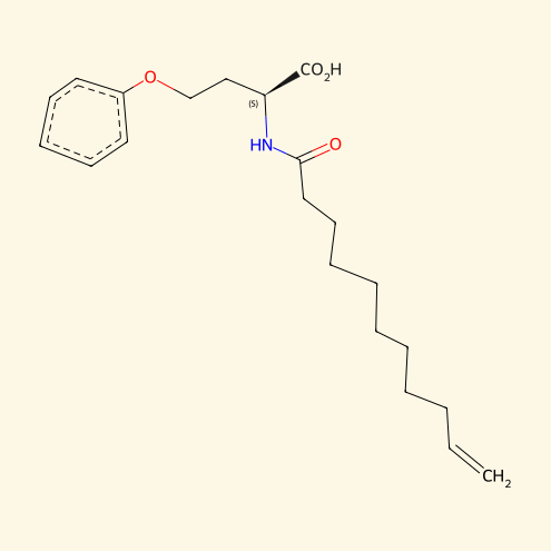 C=CCCCCCCCCC(=O)N[C@@H](CCOc1ccccc1)C(=O)O